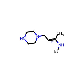 CCN/C(C)=C/CN1CCNCC1